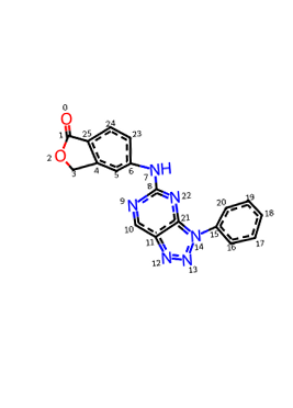 O=C1OCc2cc(Nc3ncc4nnn(-c5ccccc5)c4n3)ccc21